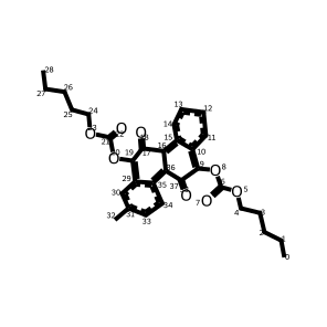 CCCCCOC(=O)OC1=c2ccccc2=C2C(=O)C(OC(=O)OCCCCC)=c3cc(C)ccc3=C2C1=O